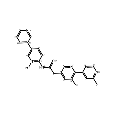 Cc1cc(-c2ncc(CC(=O)Nc3ccc(-c4cnccn4)c[n+]3[O-])cc2C)ccn1